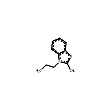 CCCn1c(C)nc2ccccc21